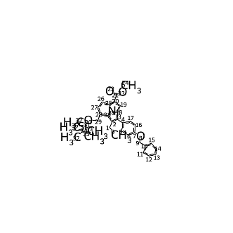 CCc1c(-c2ccc(OCc3ccccc3)cc2)c2cc(C(=O)OC)c3ccc(CO[Si](C)(C)C(C)(C)C)c1n32